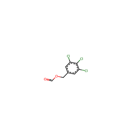 O=[C]OCc1cc(Cl)c(Cl)c(Cl)c1